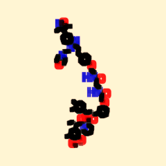 CC[C@H](C(=O)N1CCCC[C@H]1C(=O)O[C@H](CCc1ccc(C)c(C)c1)c1cccc(OCC(=O)NCCC(=O)NCCOc2ccc(CCc3nc4cc(-c5c(C)noc5C)ccc4n3CCN3CCOCC3)cc2)c1)c1cc(C)c(OC)c(OC)c1